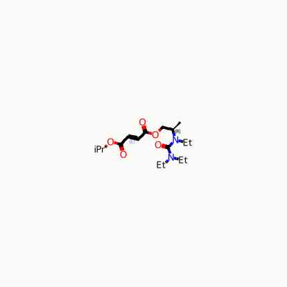 CCN(CC)C(=O)N(CC)[C@H](C)COC(=O)/C=C/C(=O)OC(C)C